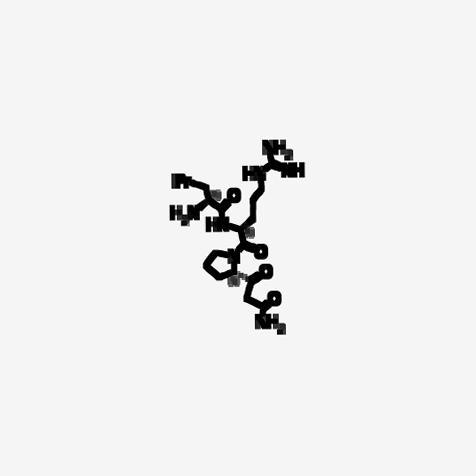 CC(C)C[C@H](N)C(=O)N[C@@H](CCCNC(=N)N)C(=O)N1CCC[C@H]1C(=O)CC(N)=O